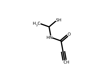 C#CC(=O)NC(C)S